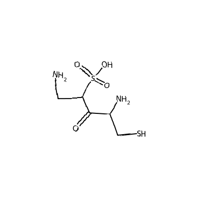 NCC(C(=O)C(N)CS)S(=O)(=O)O